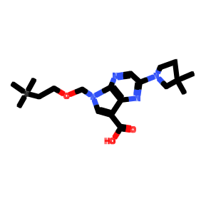 CC1(C)CCN(c2cnc3c(n2)c(C(=O)O)cn3COCC[Si](C)(C)C)C1